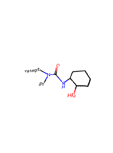 CCCCCCCN(C(=O)NC1CCCCC1O)C(C)C